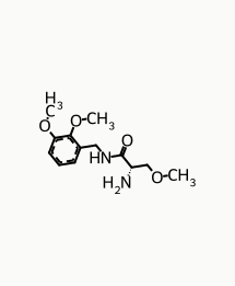 COC[C@H](N)C(=O)NCc1cccc(OC)c1OC